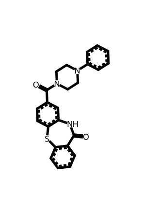 O=C1Nc2cc(C(=O)N3CCN(c4ccccc4)CC3)ccc2Sc2ccccc21